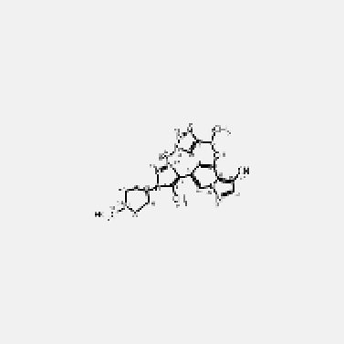 Cc1c(-c2cc(OC(C)c3cn(C(C)C)nn3)c3c(C#N)cnn3c2)nnn1C1CCN(C(=O)O)CC1